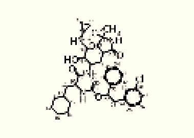 CC1(C)CC(CC(NC(=O)C(CC2CCCCC2)NC(=O)OC(Cc2cccc(Cl)c2)c2ccccc2)C(O)C(=O)NC2CC2)C(=O)N1